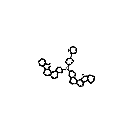 c1ccc(-c2ccc(N(c3ccc4c(ccc5ccc6c7ccccc7sc6c54)c3)c3ccc4c(ccc5ccc6c7ccccc7sc6c54)c3)cc2)nc1